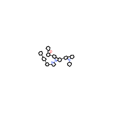 c1ccc(-c2ccc(-c3cccc(-c4cccc(-n5c6ccc(-c7ccc8c9ccccc9n(-c9ccccc9)c8c7)cc6c6ccc(-c7cccc8c7oc7ccccc78)cc65)n4)c3)cc2)cc1